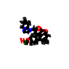 O.O=C1OC(Cn2cc[n+]3c2CCCC3)CC1(c1ccccc1)c1ccccc1.[Cl-]